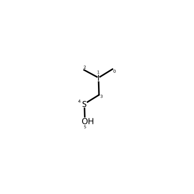 CI(C)CSO